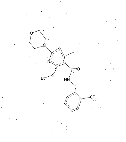 CCSc1nc(N2CCOCC2)cc(C)c1C(=O)NCc1ccccc1C(F)(F)F